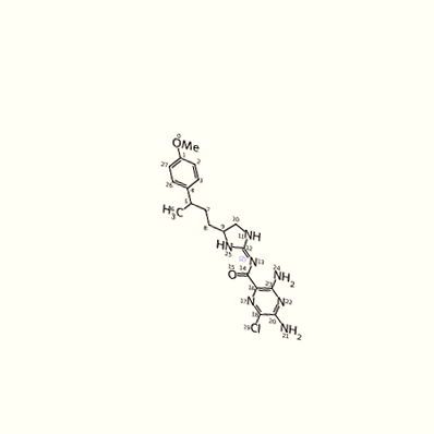 COc1ccc(C(C)CCC2CN/C(=N/C(=O)c3nc(Cl)c(N)nc3N)N2)cc1